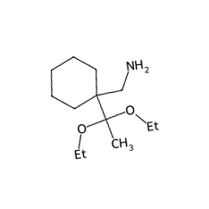 CCOC(C)(OCC)C1(CN)CCCCC1